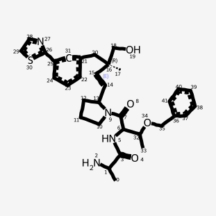 CC(N)C(=O)NC(C(=O)N1CCCC1/C=C/[C@](C)(CO)Cc1cccc(-c2nccs2)c1)C(C)OCc1ccccc1